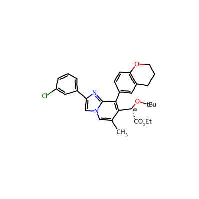 CCOC(=O)[C@@H](OC(C)(C)C)c1c(C)cn2cc(-c3cccc(Cl)c3)nc2c1-c1ccc2c(c1)CCCO2